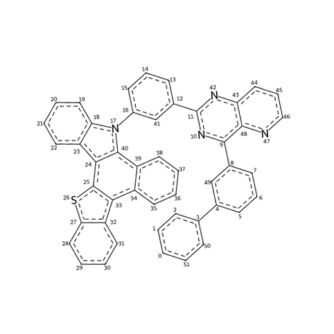 c1ccc(-c2cccc(-c3nc(-c4cccc(-n5c6ccccc6c6c7sc8ccccc8c7c7ccccc7c65)c4)nc4cccnc34)c2)cc1